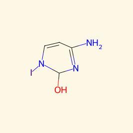 NC1=NC(O)N(I)C=C1